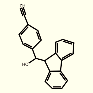 C#Cc1ccc(C(O)C2c3ccccc3-c3ccccc32)cc1